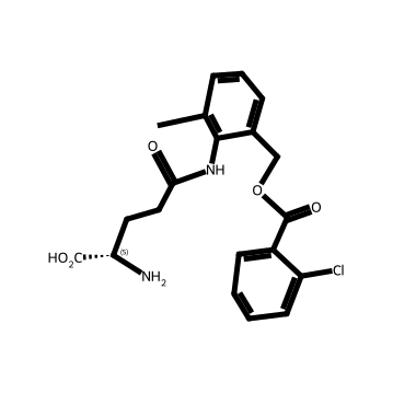 Cc1cccc(COC(=O)c2ccccc2Cl)c1NC(=O)CC[C@H](N)C(=O)O